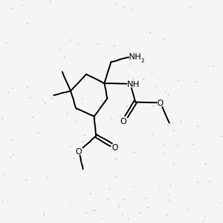 COC(=O)NC1(CN)CC(C(=O)OC)CC(C)(C)C1